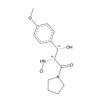 COc1ccc([C@H](O)[C@@H](NCl)C(=O)N2CCCC2)cc1